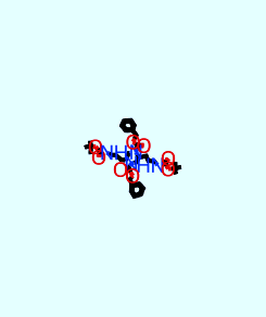 CC(C)(C)OC(=O)NCCCC1CN(C(=O)OCc2ccccc2)C(CCCNC(=O)OC(C)(C)C)CN1C(=O)OCc1ccccc1